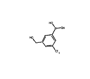 OCc1cc(B(O)O)cc(C(F)(F)F)c1